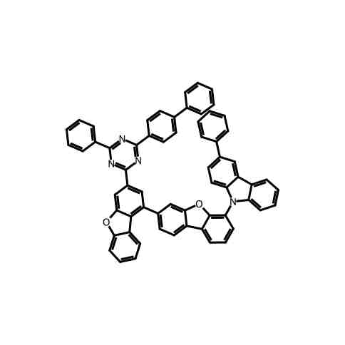 c1ccc(-c2ccc(-c3nc(-c4ccccc4)nc(-c4cc(-c5ccc6c(c5)oc5c(-n7c8ccccc8c8cc(-c9ccccc9)ccc87)cccc56)c5c(c4)oc4ccccc45)n3)cc2)cc1